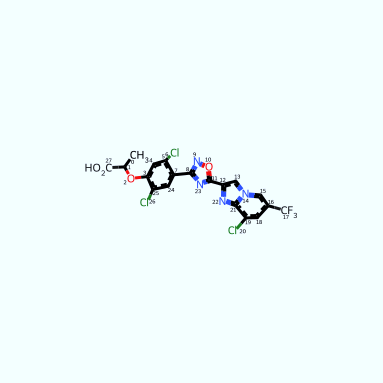 CC(Oc1cc(Cl)c(-c2noc(-c3cn4cc(C(F)(F)F)cc(Cl)c4n3)n2)cc1Cl)C(=O)O